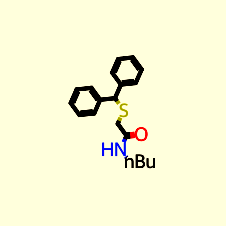 CCCCNC(=O)CSC(c1ccccc1)c1ccccc1